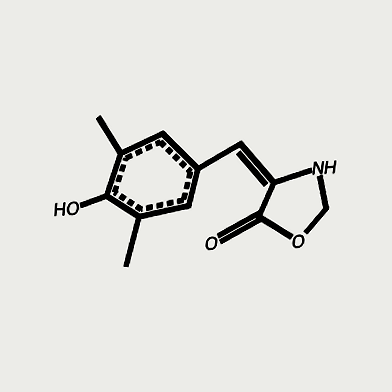 Cc1cc(C=C2NCOC2=O)cc(C)c1O